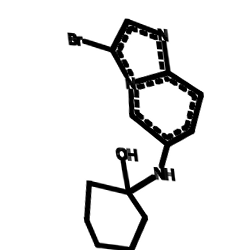 OC1(Nc2ccc3ncc(Br)n3c2)CCCCC1